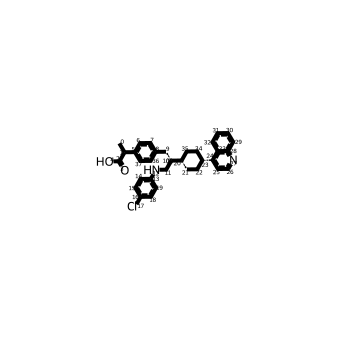 CC(C(=O)O)c1ccc(C[C@@H](CNc2ccc(Cl)cc2)[C@H]2CC[C@@H](c3ccnc4ccccc43)CC2)cc1